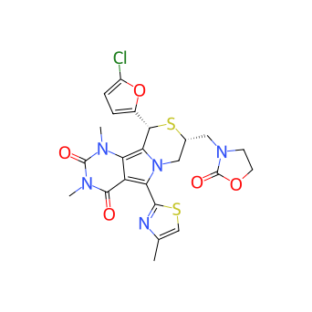 Cc1csc(-c2c3c(=O)n(C)c(=O)n(C)c3c3n2C[C@@H](CN2CCOC2=O)S[C@H]3c2ccc(Cl)o2)n1